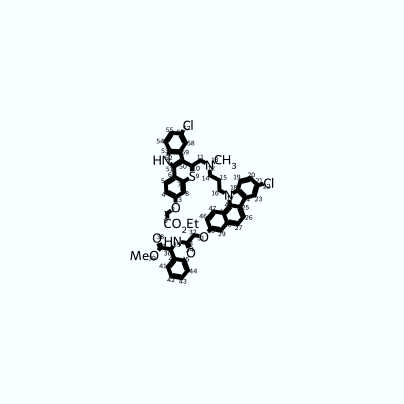 CCOC(=O)COc1ccc2c(c1)SC(CN(C)CCCn1c3ccc(Cl)cc3c3ccc4cc(OCC(=O)NC(C(=O)OC)c5ccccc5)ccc4c31)c1c-2[nH]c2ccc(Cl)cc12